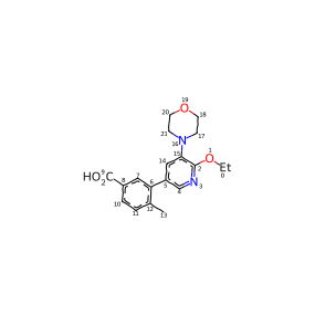 CCOc1ncc(-c2cc(C(=O)O)ccc2C)cc1N1CCOCC1